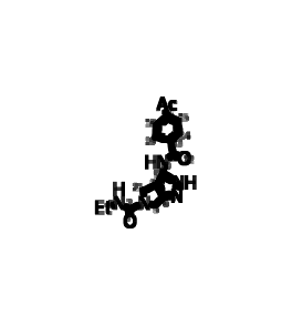 CCNC(=O)N1Cc2n[nH]c(NC(=O)c3ccc(C(C)=O)cc3)c2C1